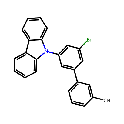 N#Cc1cccc(-c2cc(Br)cc(-n3c4ccccc4c4ccccc43)c2)c1